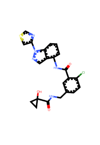 O=C(Nc1cccc2c1cnn2-c1cscn1)c1cc(CNC(=O)C2(O)CC2)ccc1Cl